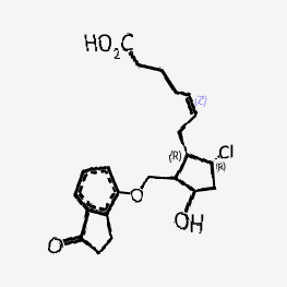 O=C(O)CCC/C=C\C[C@@H]1C(COc2cccc3c2CCC3=O)C(O)C[C@H]1Cl